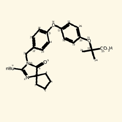 CCCCC1=NC2(CCCC2)C(=O)N1Cc1ccc(Oc2ccc(OC(C)(C)C(=O)O)cc2)cc1